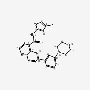 Cc1csc(NC(=O)c2cccc3ccc(-c4cccc(N5CCOCC5)c4)nc23)n1